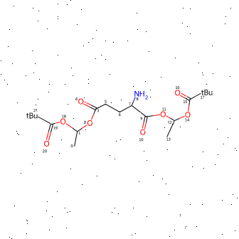 CC(OC(=O)CCC(N)C(=O)OC(C)OC(=O)C(C)(C)C)OC(=O)C(C)(C)C